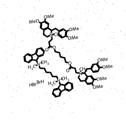 Br.Br.COc1ccc(CC2c3cc(OC)c(OC)cc3CC[N+]2(C)CCC(=O)OCCCCCOC(=O)CC[N+]2(C)CCc3cc(OC)c(OC)cc3C2Cc2ccc(OC)c(OC)c2)cc1OC.C[N+](C)(CCCCCC[N+](C)(C)C1c2ccccc2-c2ccccc21)C1c2ccccc2-c2ccccc21